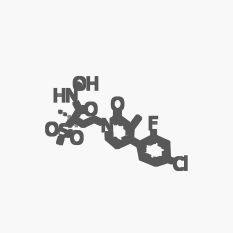 Cc1c(-c2ccc(Cl)cc2F)ccn(CC[C@](C)(C(=O)NO)S(C)(=O)=O)c1=O